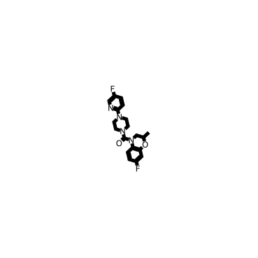 CC1CN(C(=O)N2CCN(c3ccc(F)cn3)CC2)c2ccc(F)cc2O1